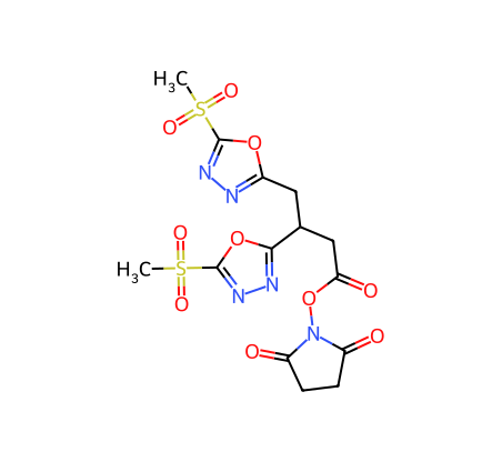 CS(=O)(=O)c1nnc(CC(CC(=O)ON2C(=O)CCC2=O)c2nnc(S(C)(=O)=O)o2)o1